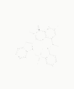 Cc1cc(C(C)Nc2ccccc2S(C)(=O)=O)c2nc(N3Cc4ccccc4C3)n(C)c(=O)c2c1